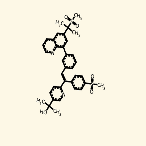 CC(C)(O)c1ccc(/C(=C/c2cccc(-c3cc(C(C)(C)S(C)(=O)=O)cc4cccnc34)c2)c2ccc(S(C)(=O)=O)cc2)nc1